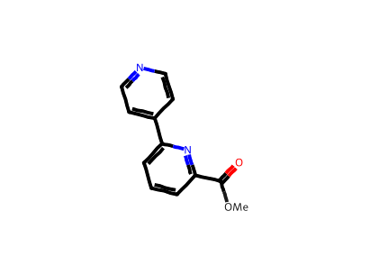 COC(=O)c1cccc(-c2ccncc2)n1